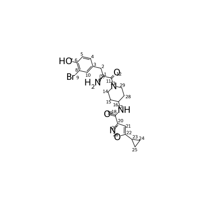 N[C@@H](Cc1ccc(O)c(Br)c1)C(=O)N1CCC(NC(=O)c2cc(C3CC3)on2)CC1